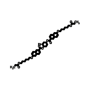 C=CC(=O)OCCCCCCOc1ccc2cc(C(=O)OC3CC[C@@H](OC(=O)c4ccc5cc(OCCCCCCOC(=O)C=C)ccc5c4)C[C@H]3CC)ccc2c1